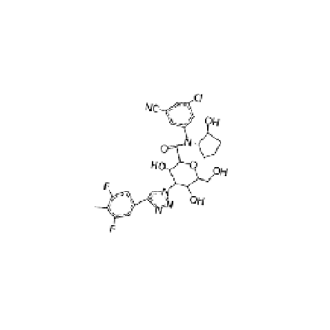 Cc1c(F)cc(-c2cn(C3C(O)C(CO)OC(C(=O)N(c4cc(Cl)cc(C#N)c4)[C@H]4CCC[C@@H]4O)C3O)nn2)cc1F